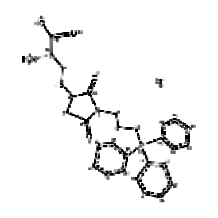 N[C@@H](CSC1CC(=O)N(CCC[P+](c2ccccc2)(c2ccccc2)c2ccccc2)C1=O)C(=O)O.[Br-]